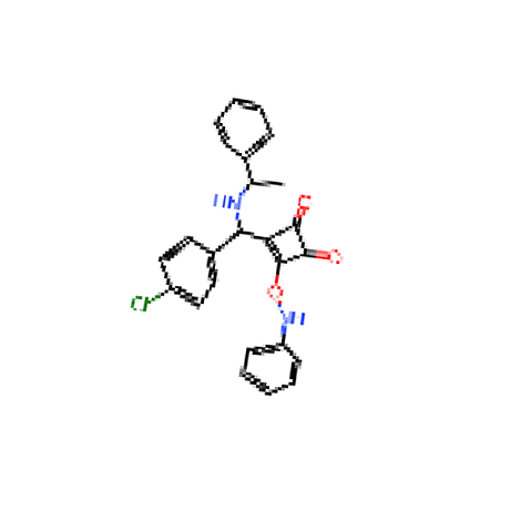 CC(NC(c1ccc(Cl)cc1)c1c(ONc2ccccc2)c(=O)c1=O)c1ccccc1